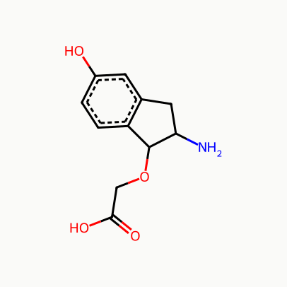 NC1Cc2cc(O)ccc2C1OCC(=O)O